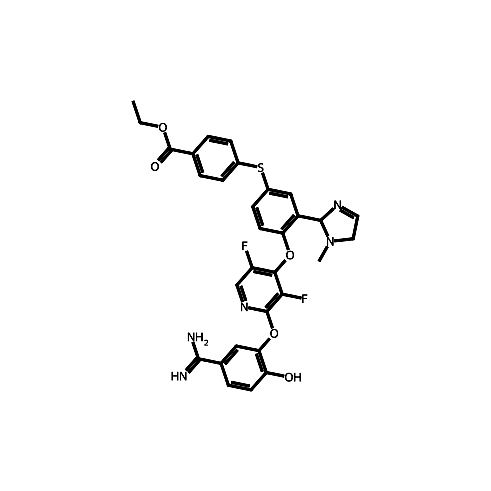 CCOC(=O)c1ccc(Sc2ccc(Oc3c(F)cnc(Oc4cc(C(=N)N)ccc4O)c3F)c(C3N=CCN3C)c2)cc1